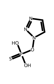 OP(O)(=S)On1ccnn1